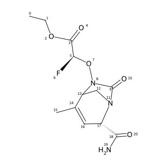 CCOC(=O)[C@H](F)ON1C(=O)N2CC1C(C)=C[C@H]2C(N)=O